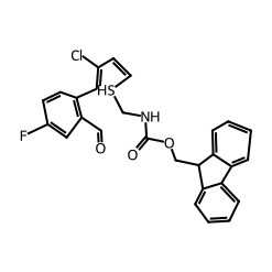 O=Cc1cc(F)ccc1C1=C(Cl)C=C[SH]1CNC(=O)OCC1c2ccccc2-c2ccccc21